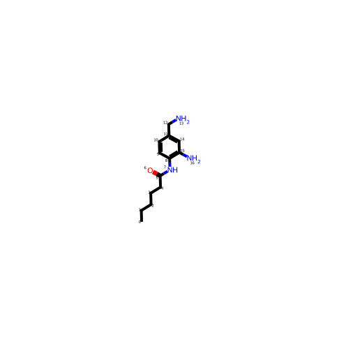 CCCCCC(=O)Nc1ccc(CN)cc1N